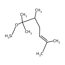 CC(C)=CCC(C)C(C)(C)O[SiH3]